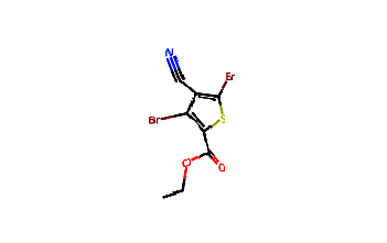 CCOC(=O)c1sc(Br)c(C#N)c1Br